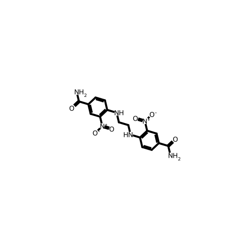 NC(=O)c1ccc(NCCNc2ccc(C(N)=O)cc2[N+](=O)[O-])c([N+](=O)[O-])c1